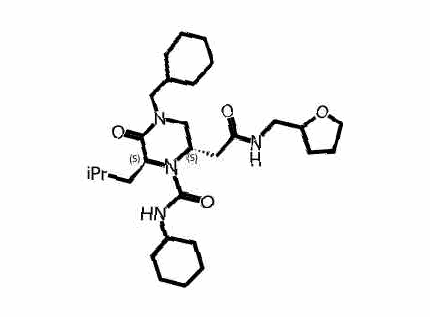 CC(C)C[C@H]1C(=O)N(CC2CCCCC2)C[C@H](CC(=O)NCC2CCCO2)N1C(=O)NC1CCCCC1